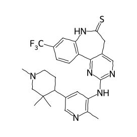 Cc1ncc(C2CCN(C)CC2(C)C)cc1Nc1ncc2c(n1)-c1ccc(C(F)(F)F)cc1NC(=S)C2